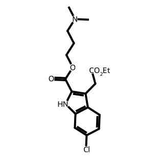 CCOC(=O)Cc1c(C(=O)OCCCN(C)C)[nH]c2cc(Cl)ccc12